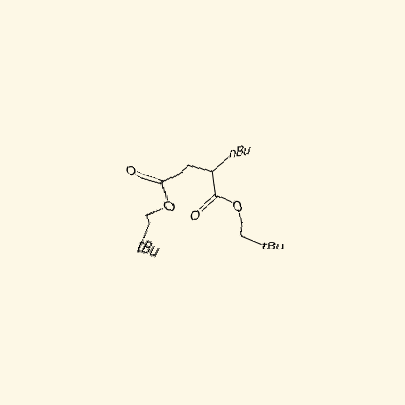 CCCCC(CC(=O)OCC(C)(C)C)C(=O)OCC(C)(C)C